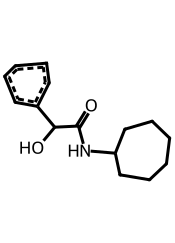 O=C(NC1CCCCCC1)C(O)c1ccccc1